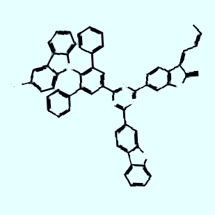 C=c1oc2cc(-c3nc(-c4cc(-c5ccccc5)c(-n5c6ccccc6c6cc(C#N)ccc65)c(-c5ccccc5)c4)nc(-c4ccc5c(c4)oc4ccccc45)n3)ccc2/c1=C/C=C\C